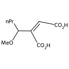 CCCC(OC)C(=CC(=O)O)C(=O)O